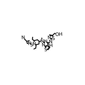 CCC1CC(N(C)c2nc(Nc3ncc(CO)s3)c3ccsc3n2)CC(CC)N1SN1CC(C#N)C1